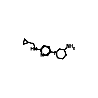 N[C@H]1CCCN(c2ccc(NCC3CC3)nc2)C1